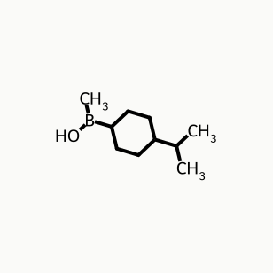 CB(O)C1CCC(C(C)C)CC1